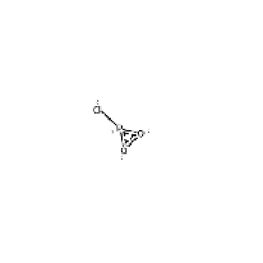 Clp1oo1